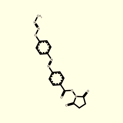 C/N=N/Oc1ccc(N=Nc2ccc(C(=O)ON3C(=O)CCC3=O)cc2)cc1